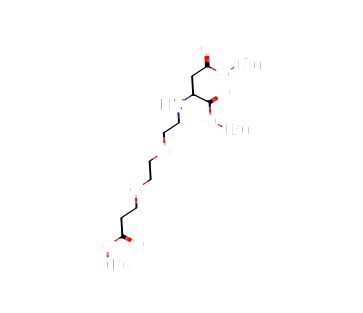 CC(C)(C)OC(=O)CCOCCOCCNC(CC(=O)OC(C)(C)C)C(=O)OC(C)(C)C